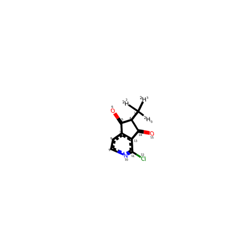 [2H]C([2H])([2H])C1C(=O)c2ccnc(Cl)c2C1=O